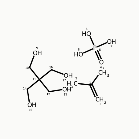 C=C(C)C.O=P(O)(O)O.OCC(CO)(CO)CO